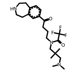 CN(C)CC(C)(C)CN(CCCC(=O)c1ccc2c(c1)CCNCC2)C(=O)C(F)(F)F